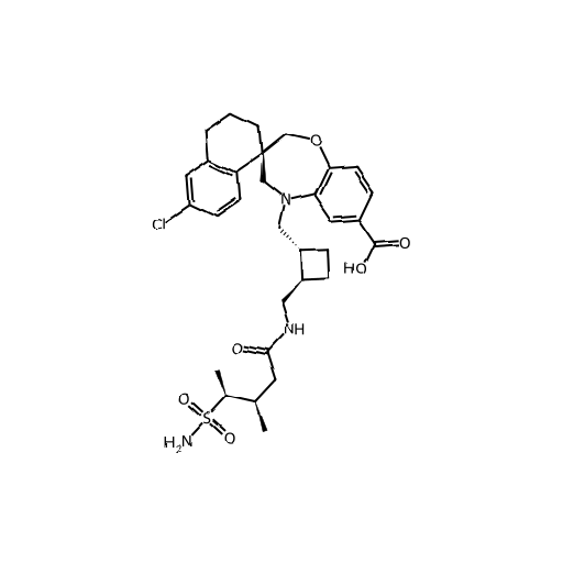 C[C@H](CC(=O)NC[C@@H]1CC[C@H]1CN1C[C@@]2(CCCc3cc(Cl)ccc32)COc2ccc(C(=O)O)cc21)[C@H](C)S(N)(=O)=O